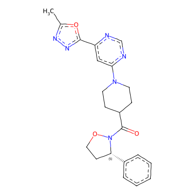 Cc1nnc(-c2cc(N3CCC(C(=O)N4OCC[C@H]4c4ccccc4)CC3)ncn2)o1